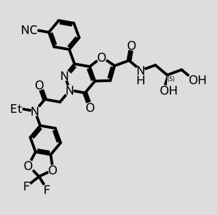 CCN(C(=O)Cn1nc(-c2cccc(C#N)c2)c2oc(C(=O)NC[C@H](O)CO)cc2c1=O)c1ccc2c(c1)OC(F)(F)O2